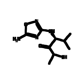 CC(S)C(=O)[C@@H](Nc1noc(N)n1)C(C)C